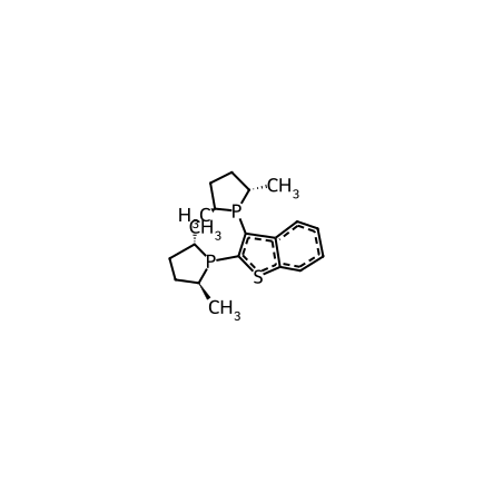 C[C@H]1CC[C@H](C)P1c1sc2ccccc2c1P1[C@@H](C)CC[C@@H]1C